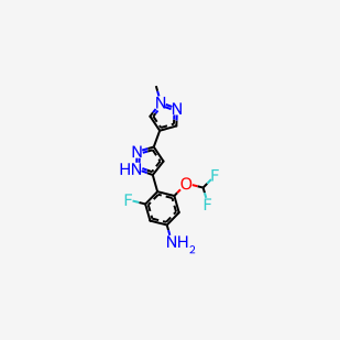 Cn1cc(-c2cc(-c3c(F)cc(N)cc3OC(F)F)[nH]n2)cn1